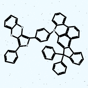 c1ccc(-c2ccccc2N(c2ccc(-c3sc(-c4ccccc4)c4c3Oc3ccccc3O4)cc2)c2ccc3c(c2)C(c2ccccc2)(c2ccccc2)c2ccccc2-3)cc1